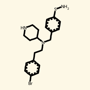 NSc1ccc(CN(CCc2ccc(Br)cc2)C2CCNCC2)cc1